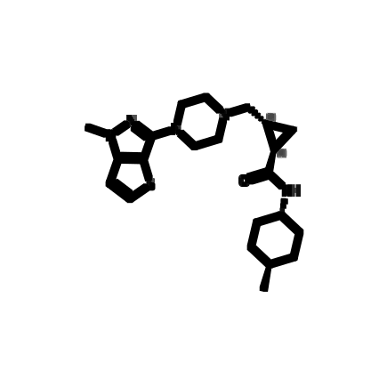 Cn1nc(N2CCN(C[C@@H]3C[C@H]3C(=O)N[C@H]3CC[C@H](C)CC3)CC2)c2sccc21